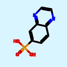 O=P(O)(O)c1ccc2nccnc2c1